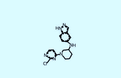 Clc1nccc(N2CCCC(Nc3ccc4[nH]ncc4c3)C2)n1